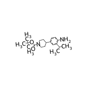 CC(C)c1cc(C2CCN(C(=O)OC(C)(C)C)CC2)ccc1N